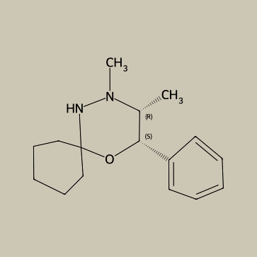 C[C@@H]1[C@H](c2ccccc2)OC2(CCCCC2)NN1C